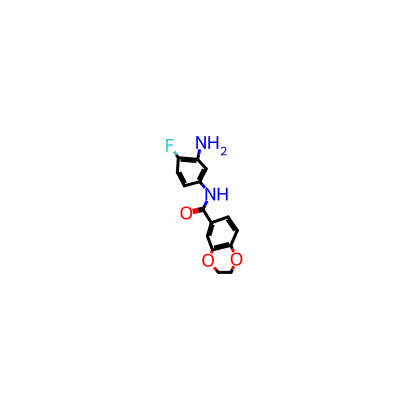 Nc1cc(NC(=O)c2ccc3c(c2)OCCO3)ccc1F